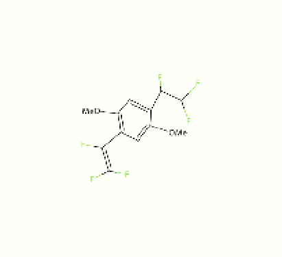 COc1cc(C(F)C(F)F)c(OC)cc1C(F)=C(F)F